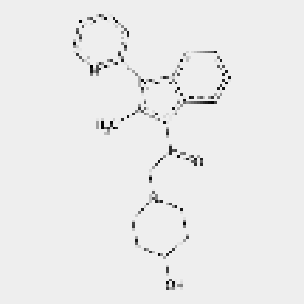 Cc1c(C(=O)CN2CCC(O)CC2)c2ccccc2n1-c1ccccn1